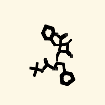 C[C@@H]1C(=O)N(C[C@H](Cc2ccccc2)NC(=O)OC(C)(C)C)[C@]1(Cc1ccccc1)C(=O)O